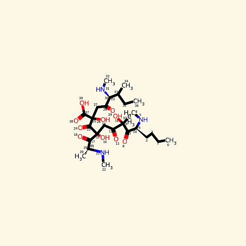 CCCC[C@H](NC)C(=O)C(C)(O)C(=O)CC(O)(C(=O)[C@@H](C)NC)C(=O)C(O)(CC(=O)[C@@H](NC)C(C)CC)C(=O)O